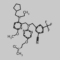 CCN(CC1CCCC1)c1ccc(OC)nc1CN(Cc1cc(C#N)cc(C(F)(F)F)c1)c1ncc(OCC[S+](C)[O-])cn1